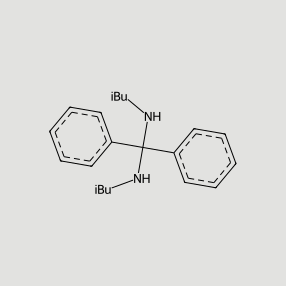 CCC(C)NC(NC(C)CC)(c1ccccc1)c1ccccc1